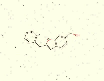 OCc1ccc2cc(Cc3ccccc3)oc2c1